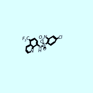 O=[N+]([O-])c1cc(Cl)ccc1S(=O)(=O)Nc1ccc(C(F)(F)F)c2cccnc12